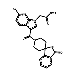 CNC(=O)Cn1cc(C(=O)N2CCC3(CC2)NC(=O)c2ccccc23)c2ccc(Cl)cc21